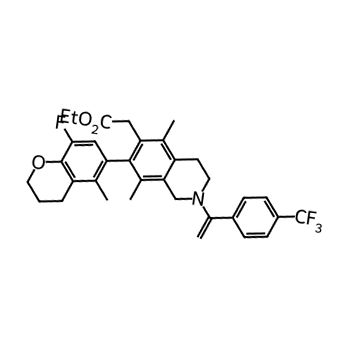 C=C(c1ccc(C(F)(F)F)cc1)N1CCc2c(C)c(CC(=O)OCC)c(-c3cc(F)c4c(c3C)CCCO4)c(C)c2C1